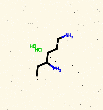 CCC(N)CCCN.Cl.Cl